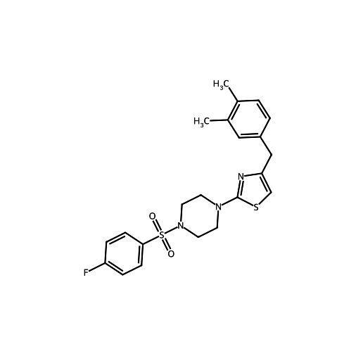 Cc1ccc(Cc2csc(N3CCN(S(=O)(=O)c4ccc(F)cc4)CC3)n2)cc1C